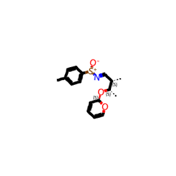 Cc1ccc([S+]([O-])N=C[C@H](C)[C@H](C)O[C@@H]2C=CC=CO2)cc1